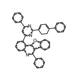 C1=C(c2ccccc2)CCC(c2nc(-c3ccccc3)cc(-c3cccc4nc(-c5ccccc5)c5c6ccccc6oc5c34)n2)=C1